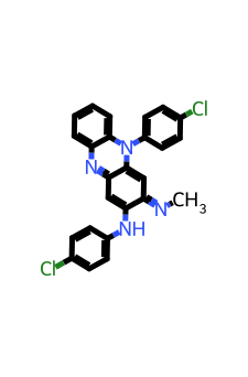 C/N=c1\cc2n(-c3ccc(Cl)cc3)c3ccccc3nc-2cc1Nc1ccc(Cl)cc1